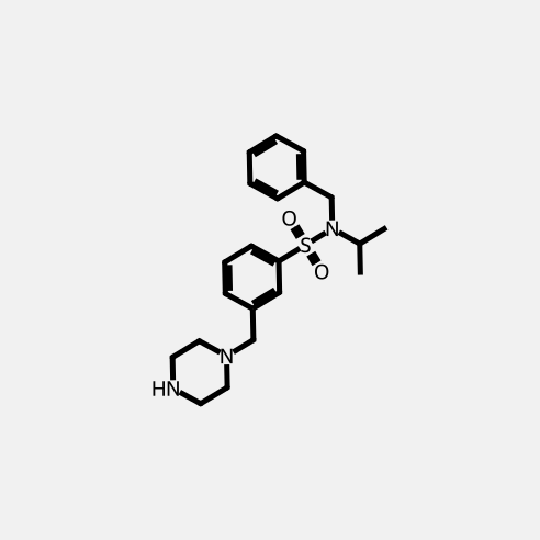 CC(C)N(Cc1ccccc1)S(=O)(=O)c1cccc(CN2CCNCC2)c1